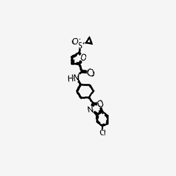 O=C(NC1CCC(c2nc3cc(Cl)ccc3o2)CC1)c1ccc([S+]([O-])C2CC2)o1